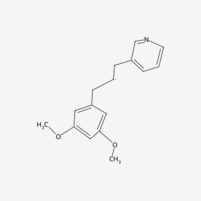 COc1cc(C[CH]Cc2cccnc2)cc(OC)c1